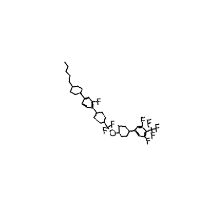 CCCCCC1CCC(c2ccc(C3CCC(C(F)(F)OC4CCC(c5cc(F)c(C(F)(F)F)c(F)c5)CC4)CC3)c(F)c2)CC1